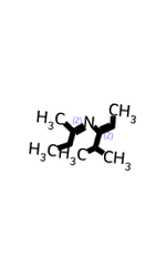 C/C=C(\N=C(\C)CC)C(C)C